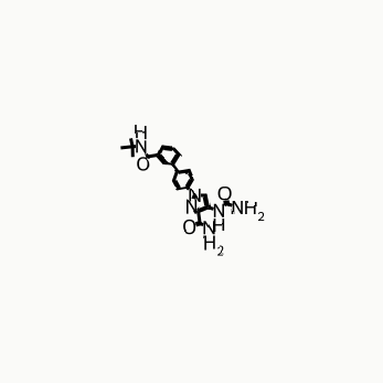 CC(C)(C)NC(=O)c1cccc(-c2ccc(-n3cc(NC(N)=O)c(C(N)=O)n3)cc2)c1